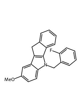 COc1ccc2c(c1)c1c(n2Cc2ccccc2F)-c2ccccc2C1